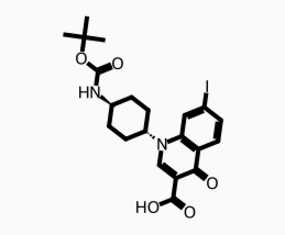 CC(C)(C)OC(=O)N[C@H]1CC[C@H](n2cc(C(=O)O)c(=O)c3ccc(I)cc32)CC1